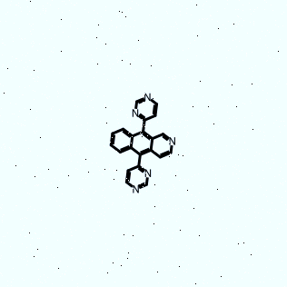 c1ccc2c(-c3ccncn3)c3cnccc3c(-c3ccncn3)c2c1